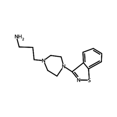 NCCCN1CCN(c2nsc3ccccc23)CC1